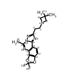 CC1(C)CN(CCc2nc3c4ccc5c(c4nc(N)n3n2)OC(F)(F)O5)C1